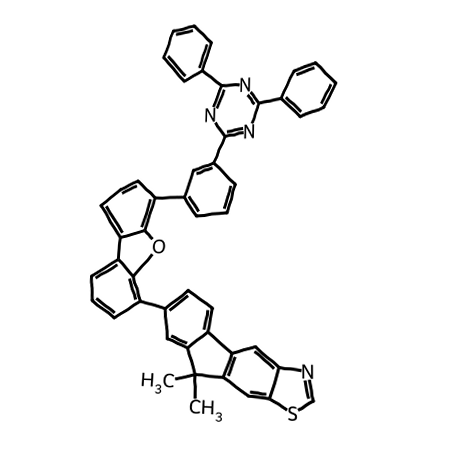 CC1(C)c2cc(-c3cccc4c3oc3c(-c5cccc(-c6nc(-c7ccccc7)nc(-c7ccccc7)n6)c5)cccc34)ccc2-c2cc3ncsc3cc21